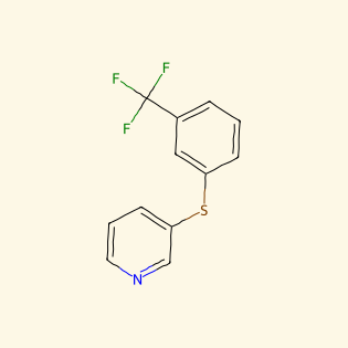 FC(F)(F)c1cccc(Sc2cccnc2)c1